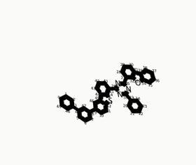 c1ccc(-c2cccc(-c3ccc4sc5c(-c6nc(-c7ccccc7)nc(-c7cccc8c7oc7ccccc78)n6)cccc5c4c3)c2)cc1